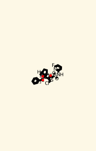 CN(c1cc(S(=O)(=O)Nc2cccc(F)n2)sc1Cl)[C@@H]1[C@@H]2CC[C@H]1CN(Cc1ccccc1)C2